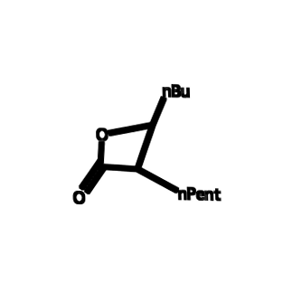 CCCCCC1C(=O)OC1CCCC